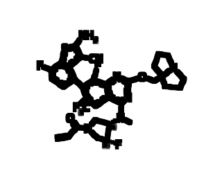 C=CC(=O)N1C[C@@H](F)[C@@H](N(C)c2nc(OCC34CCCN3CCC4)nc3c(F)c(-c4ccc(F)c5sc(N)c(C#N)c45)c(C(F)(F)F)cc23)C1